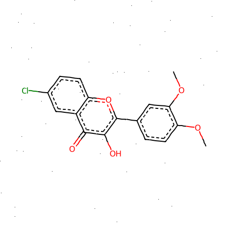 COc1ccc(-c2oc3ccc(Cl)cc3c(=O)c2O)cc1OC